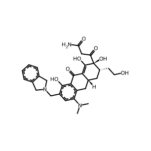 CN(C)c1cc(CN2Cc3ccccc3C2)c(O)c2c1C[C@H]1C[C@@H](CCO)[C@@](O)(C(=O)CC(N)=O)C(O)=C1C2=O